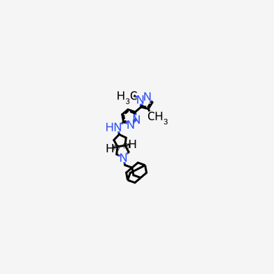 Cc1cnn(C)c1-c1ccc(NC2C[C@@H]3CN(CC45CC6CC(CC(C6)C4)C5)C[C@@H]3C2)nn1